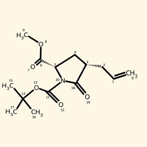 C=CC[C@H]1C[C@@H](C(=O)OC)N(C(=O)OC(C)(C)C)C1=O